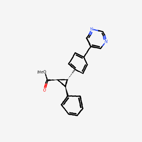 COC(=O)[C@@H]1[C@H](c2ccccc2)[C@H]1c1ccc(-c2cncnc2)cc1